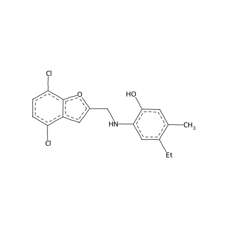 CCc1cc(NCc2cc3c(Cl)ccc(Cl)c3o2)c(O)cc1C